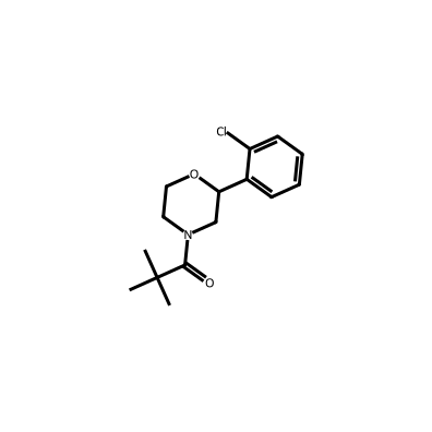 CC(C)(C)C(=O)N1CCOC(c2ccccc2Cl)C1